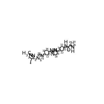 Cn1cc(I)c(CN2CCN(c3ccc(Nc4nccc(-c5ccc(NC(=O)[C@H]6CCCN6)cc5)n4)cc3)CC2)n1